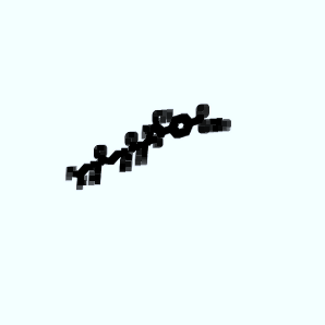 COC(=O)c1ccc(-c2sc(NC(=O)NCCC(=O)NCC(F)F)nc2C)cc1